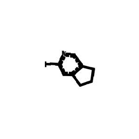 Ic1cc2c(cn1)CCC2